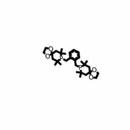 CC1(C)CC2(CC(C)(C)P1Cc1ccccc1CP1C(C)(C)CC3(CC1(C)C)OCCO3)OCCO2